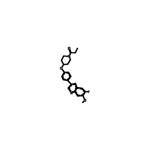 CCC(=O)N1CCC(Oc2ccc(-c3cnc4cc(OC)c(F)cc4c3)cc2)CC1